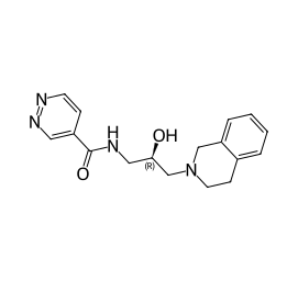 O=C(NC[C@@H](O)CN1CCc2ccccc2C1)c1ccnnc1